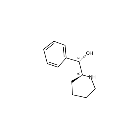 O[C@@H](c1ccccc1)[C@@H]1CCCCN1